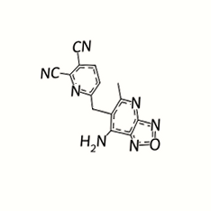 Cc1nc2nonc2c(N)c1Cc1ccc(C#N)c(C#N)n1